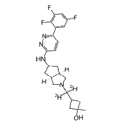 [2H]C([2H])(C1CC(C)(O)C1)N1C[C@H]2CC(Nc3ccc(-c4cc(F)cc(F)c4F)nn3)C[C@H]2C1